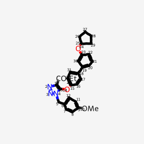 CCOC(=O)c1nnn(Cc2ccc(OC)cc2)c1Oc1ccc(-c2cccc(OC3CCCC3)c2)cc1